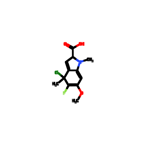 COC1=C(F)C(C)(Cl)C2=CC(C(=O)O)N(C)C2=C1